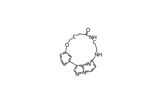 O=C1CCCOc2cccc(c2)-c2cnn3ccc(nc23)NCCN1